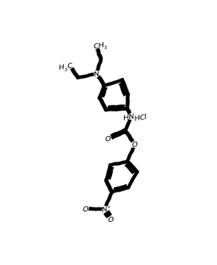 CCN(CC)c1ccc(NC(=O)Oc2ccc([N+](=O)[O-])cc2)cc1.Cl